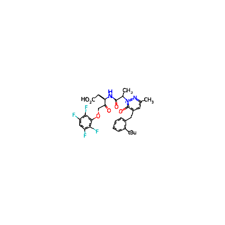 Cc1cc(Cc2ccccc2C(C)(C)C)c(=O)n(C(C)C(=O)NC(CC(=O)O)C(=O)COc2c(F)c(F)cc(F)c2F)n1